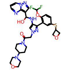 O=C(Cn1cc(NC(O)c2cnn3cccnc23)c(-c2cc(SC3COC3)ccc2OC(F)F)n1)N1CCC(N2CCOCC2)CC1